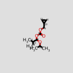 CC(C)OC(OC(=O)OCC1CC1)C(C)C